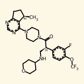 C[C@@H]1CCc2ncnc(N3CCN(C(=O)[C@H](CNC4CCOCC4)c4ccc(OC(F)(F)F)c(F)c4)CC3)c21